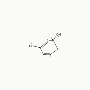 OC1=CN(O)CC=C1